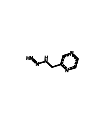 N=NNCc1cnccn1